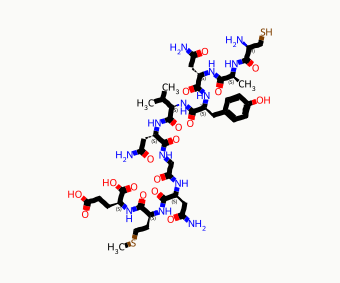 CSCC[C@H](NC(=O)[C@H](CC(N)=O)NC(=O)CNC(=O)[C@H](CC(N)=O)NC(=O)[C@@H](NC(=O)[C@H](Cc1ccc(O)cc1)NC(=O)[C@H](CC(N)=O)NC(=O)[C@H](C)NC(=O)[C@@H](N)CS)C(C)C)C(=O)N[C@@H](CCC(=O)O)C(=O)O